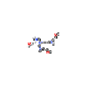 c1cc(-c2cc(-c3ccc(-c4ccc(-n5c6ccccc6c6cc(-c7ccc8c(c7)oc7ccccc78)ccc65)cc4)cc3)nc(-c3cccc(-n4c5ccccc5c5cc(-c6ccc7c(c6)oc6ccccc67)ccc54)c3)n2)cc(-n2c3ccccc3c3cc(-c4ccc5c(c4)oc4ccccc45)ccc32)c1